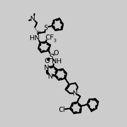 CN(C)CC[C@H](CSc1ccccc1)Nc1ccc(S(=O)(=O)Nc2ncnc3cc(C4=CCN(Cc5cc(Cl)ccc5-c5ccccc5)CC4)ccc23)cc1C(F)(F)F